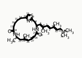 CC(/C=C/C(C)=C/C1Cc2nc(cs2)CCCCC(=O)N[C@@H](C)C/C(C)=C/C=C\C(=O)N1)=C\CN(C)C